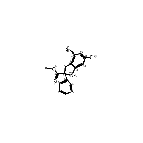 COC(=O)C1(c2ccccc2)Cc2c(Br)cc(F)cc2N1